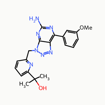 COc1cccc(-c2nc(N)nc3c2nnn3Cc2cccc(C(C)(C)O)n2)c1